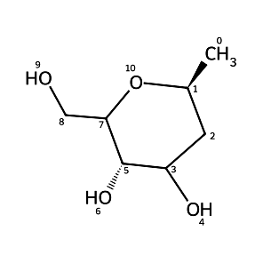 C[C@H]1CC(O)[C@H](O)C(CO)O1